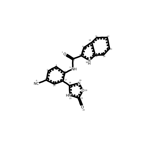 N#Cc1ccc(NC(=O)c2cc3ccccc3[nH]2)c(-c2noc(=O)[nH]2)c1